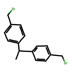 CC(c1ccc(CBr)cc1)c1ccc(CBr)cc1